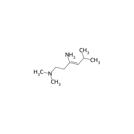 CC(C)C=C(N)CCN(C)C